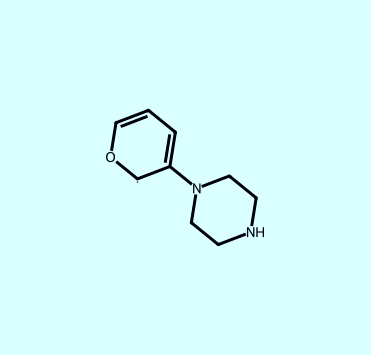 [CH]1OC=CC=C1N1CCNCC1